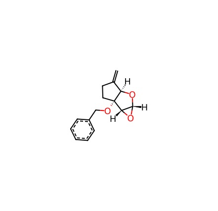 C=C1CC[C@@]2(OCc3ccccc3)[C@@H]1O[C@@H]1O[C@@H]12